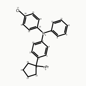 CCCC1(c2ccc(N(c3ccccc3)c3ccc(Cl)cc3)cc2)CCCC1